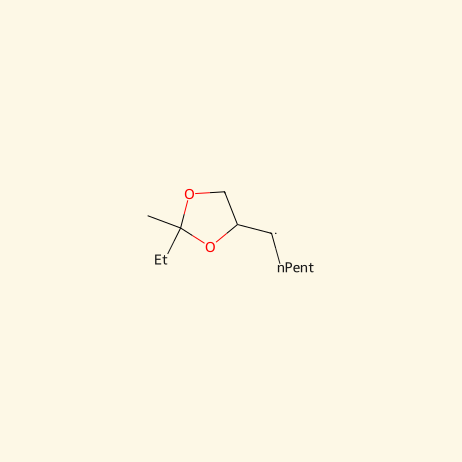 CCCCC[CH]C1COC(C)(CC)O1